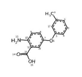 Cc1cccc(Oc2ccc(N)c(C(=O)O)c2)c1